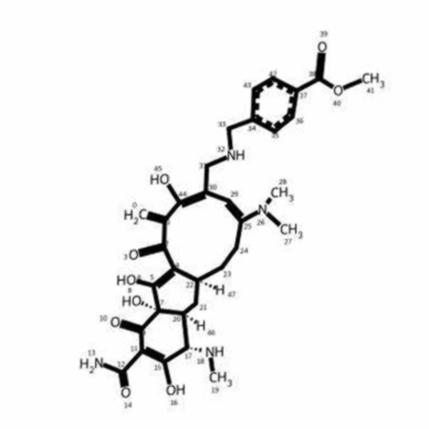 C=C1C(=O)C2=C(O)[C@]3(O)C(=O)C(C(N)=O)=C(O)[C@@H](NC)[C@@H]3C[C@@H]2CC/C(N(C)C)=C\C(CNCc2ccc(C(=O)OC)cc2)=C/1O